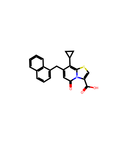 O=C(O)c1csc2c(C3CC3)c(Cc3cccc4c3C=C=C=C4)cc(=O)n12